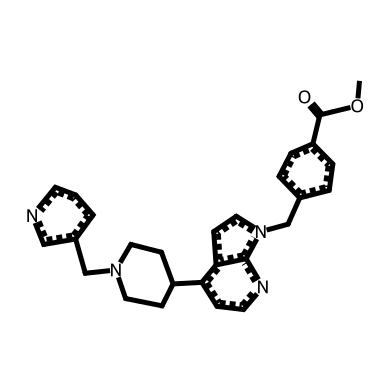 COC(=O)c1ccc(Cn2ccc3c(C4CCN(Cc5cccnc5)CC4)ccnc32)cc1